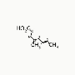 CC=CCC(C)CCC(=O)O